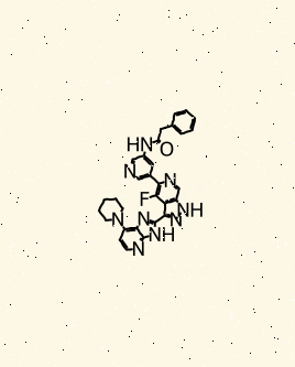 O=C(Cc1ccccc1)Nc1cncc(-c2ncc3[nH]nc(-c4nc5c(N6CCCCC6)ccnc5[nH]4)c3c2F)c1